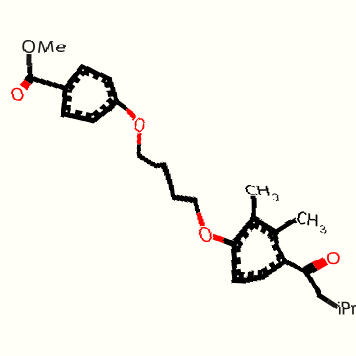 COC(=O)c1ccc(OCCCCOc2ccc(C(=O)CC(C)C)c(C)c2C)cc1